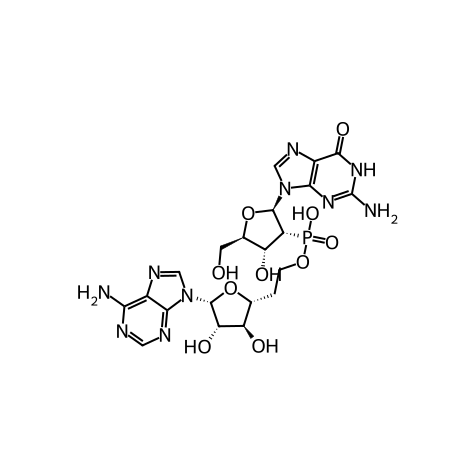 Nc1nc2c(ncn2[C@@H]2O[C@H](CO)[C@@H](O)[C@H]2P(=O)(O)OCC[C@H]2O[C@@H](n3cnc4c(N)ncnc43)[C@@H](O)[C@@H]2O)c(=O)[nH]1